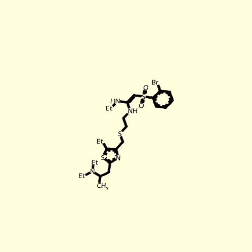 CCNC(=CS(=O)(=O)c1ccccc1Br)NCCSCc1nc(CC(C)N(CC)CC)sc1CC